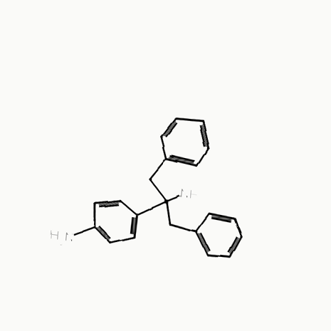 Nc1ccc(C(N)(Cc2ccccc2)Cc2ccccc2)cc1